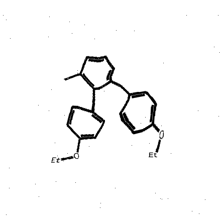 CCOc1ccc(-c2cccc(C)c2-c2ccc(OCC)cc2)cc1